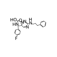 O=C(O)NC(c1ccc(F)cc1)c1cnc(NCCCc2ccccc2)nn1